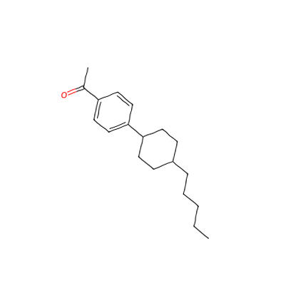 CCCCCC1CCC(c2ccc(C(C)=O)cc2)CC1